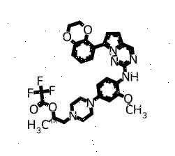 COc1cc(N2CCN(C[C@H](C)OC(=O)C(F)(F)F)CC2)ccc1Nc1ncc2ccc(-c3cccc4c3OCCO4)n2n1